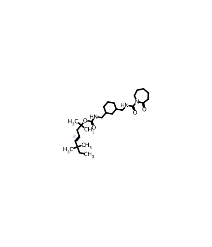 CCC(C)(C)/C=C/CC(C)(C)OC(=O)NCC1CCCC(CNC(=O)N2CCCCCC2=O)C1